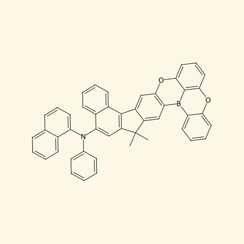 CC1(C)c2cc3c(cc2-c2c1cc(N(c1ccccc1)c1cccc4ccccc14)c1ccccc21)Oc1cccc2c1B3c1ccccc1O2